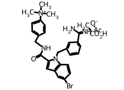 CC(=O)O.CC(=O)[O-].C[N+](C)(C)c1ccc(CNC(=O)c2cc3cc(Br)ccc3n2Cc2cccc(C(=N)N)c2)cc1